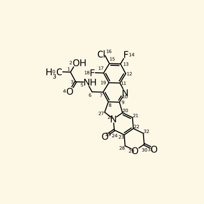 CC(O)C(=O)NCc1c2c(nc3cc(F)c(Cl)c(F)c13)-c1cc3c(c(=O)n1C2)COC(=O)C3